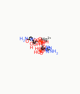 NC(=O)c1ccc[n+]([C@@H]2O[C@H](COP(=O)(O)OP(=O)(O)OC[C@H]3O[C@@H](n4cnc5c(N)ncnc54)[C@H](OP(=O)(O)O)[C@@H]3O)[C@@H](O)[C@H]2O)c1.[Hg+2]